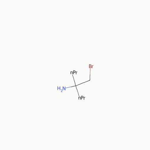 CCCC(N)(CBr)CCC